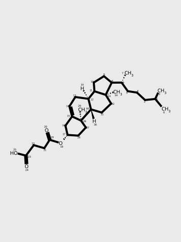 CC(C)CCC[C@@H](C)C1CCC2[C@@H]3CC=C4C[C@@H](OC(=O)CCC(=O)O)CC[C@]4(C)[C@H]3CC[C@]12C